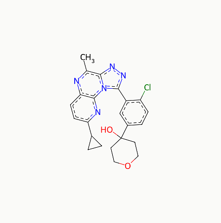 Cc1nc2ccc(C3CC3)nc2n2c(-c3cc(C4(O)CCOCC4)ccc3Cl)nnc12